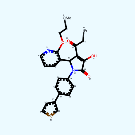 COCCOc1ncccc1C1C(C(=O)CC(C)C)=C(O)C(=O)N1c1ccc(-c2ccsc2)cc1